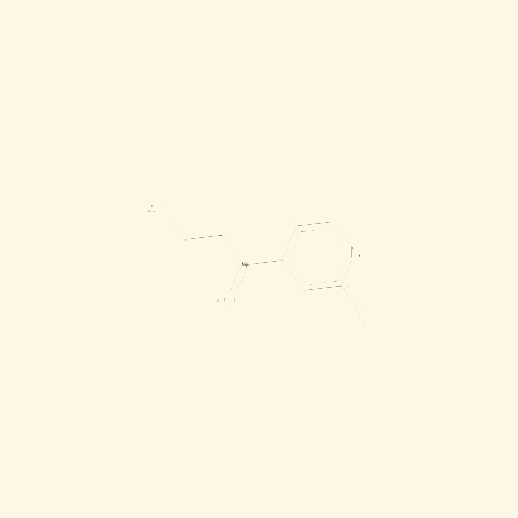 CC(=O)CCC(=O)c1ccnc(Cl)c1